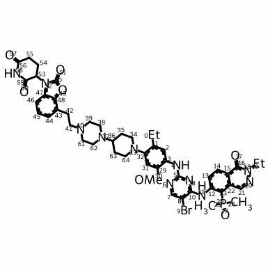 CCc1cc(Nc2ncc(Br)c(Nc3ccc4c(=O)n(CC)ncc4c3P(C)(C)=O)n2)c(OC)cc1N1CCC(N2CCN(CCc3cccc4c3oc(=O)n4C3CCC(=O)NC3=O)CC2)CC1